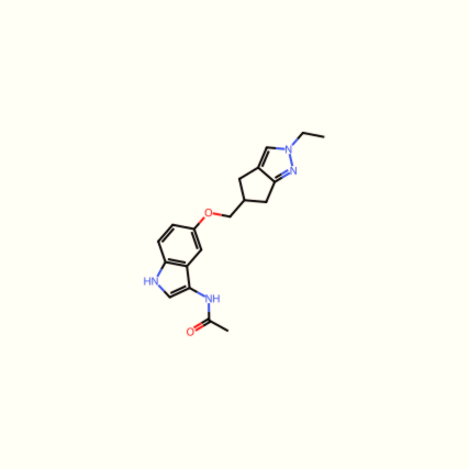 CCn1cc2c(n1)CC(COc1ccc3[nH]cc(NC(C)=O)c3c1)C2